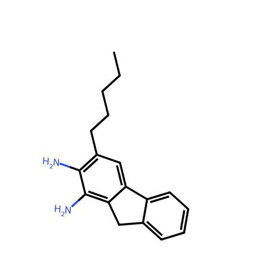 CCCCCc1cc2c(c(N)c1N)Cc1ccccc1-2